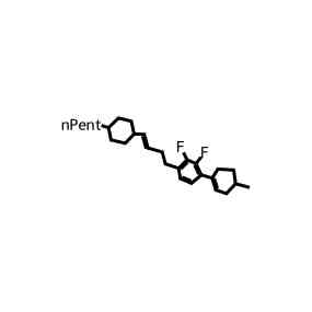 CCCCCC1CCC(/C=C/CCc2ccc(C3=CCC(C)CC3)c(F)c2F)CC1